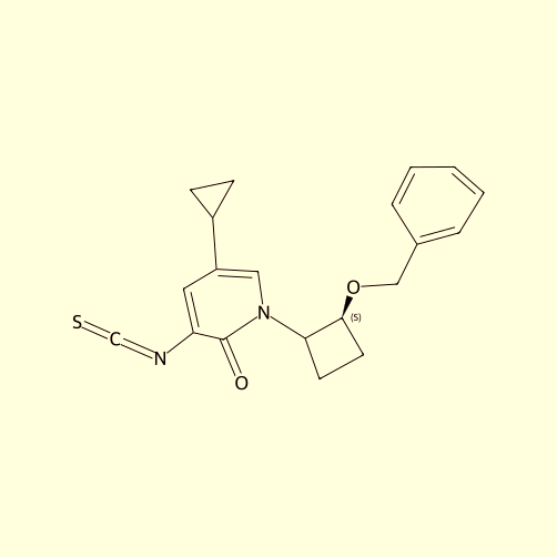 O=c1c(N=C=S)cc(C2CC2)cn1C1CC[C@@H]1OCc1ccccc1